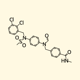 CNC(=O)c1ccc(CN(C=O)c2ccc(N(Cc3cccc(Cl)c3Cl)S(C)(=O)=O)cc2)cc1